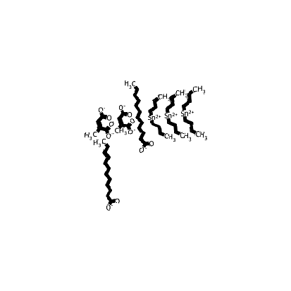 C/C(=C/C(=O)[O-])C(=O)[O-].C/C(=C/C(=O)[O-])C(=O)[O-].CCCCCCCCCCCC(=O)[O-].CCCCCCCCCCCC(=O)[O-].CCC[CH2][Sn+2][CH2]CCC.CCC[CH2][Sn+2][CH2]CCC.CCC[CH2][Sn+2][CH2]CCC